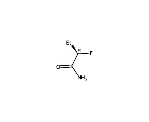 CC[C@@H](F)C(N)=O